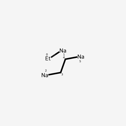 [CH2][CH2][Na].[Na][CH2][CH2][Na]